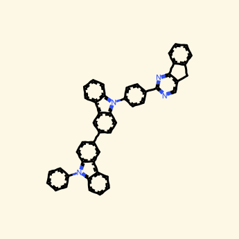 c1ccc(-n2c3ccccc3c3cc(-c4ccc5c(c4)c4ccccc4n5-c4ccc(-c5ncc6c(n5)-c5ccccc5C6)cc4)ccc32)cc1